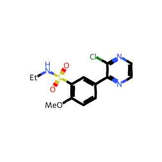 CCNS(=O)(=O)c1cc(-c2nccnc2Cl)ccc1OC